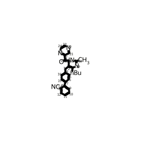 CCCCC1=C(Cc2ccc(-c3ccccc3C#N)cc2)C(C(=O)c2cnccn2)NC(C)=N1